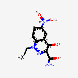 CCn1nc(C(N)=O)c(=O)c2cc([N+](=O)[O-])ccc21